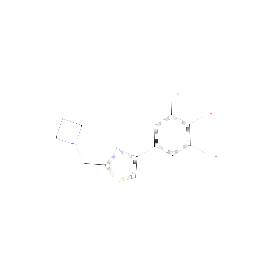 CC(C)(C)c1cc(-c2csc(CN3CCC3)n2)cc(C(C)(C)C)c1O